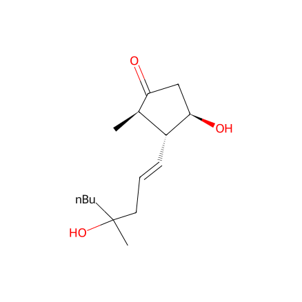 CCCCC(C)(O)C/C=C/[C@H]1[C@H](O)CC(=O)[C@@H]1C